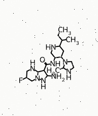 CCC(C)C1CC(N2CCNC2C)C(NC(=O)C2C(N)NN3CC(F)CNC23)CN1